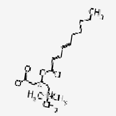 CCCCCC=CC=CC(=O)O[C@H](CC(=O)[O-])C[N+](C)(C)C